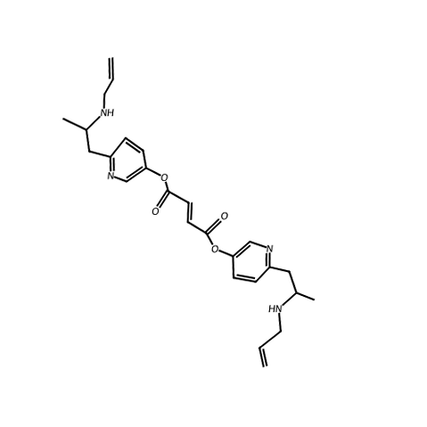 C=CCNC(C)Cc1ccc(OC(=O)/C=C/C(=O)Oc2ccc(CC(C)NCC=C)nc2)cn1